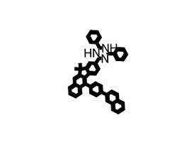 CC1(C)c2cc(C3N=C(c4ccccc4)NC(c4ccccc4)N3)ccc2-c2c1cc1ccccc1c2-c1ccc(-c2ccc3ccccc3c2)cc1